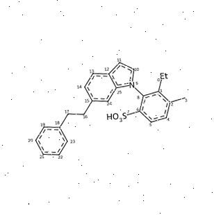 CCc1c(C)ccc(S(=O)(=O)O)c1-n1ccc2ccc(CCc3ccccc3)cc21